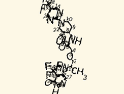 CC(COCC(=O)N[C@H]1CCN(c2ncc(C(F)(F)F)cn2)C[C@@H]1O)Nc1cn[nH]c(=O)c1C(F)(F)F